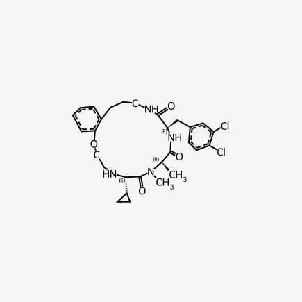 C[C@@H]1C(=O)N[C@H](Cc2ccc(Cl)c(Cl)c2)C(=O)NCCCc2ccccc2OCCN[C@@H](C2CC2)C(=O)N1C